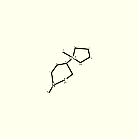 CN1CCC([N+]2(C)CCCC2)CC1